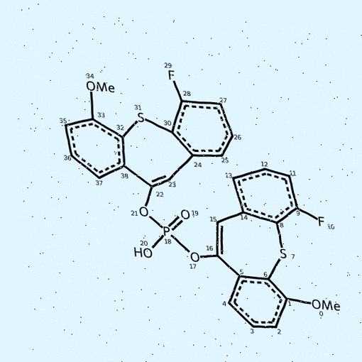 COc1cccc2c1Sc1c(F)cccc1C=C2OP(=O)(O)OC1=Cc2cccc(F)c2Sc2c(OC)cccc21